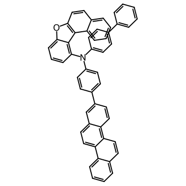 c1ccc(-c2ccc(N(c3ccc(-c4ccc5c(ccc6c7ccccc7ccc56)c4)cc3)c3cccc4oc5ccc6ccccc6c5c34)cc2)cc1